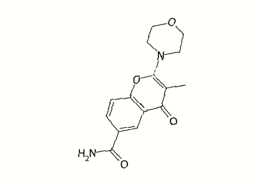 Cc1c(N2CCOCC2)oc2ccc(C(N)=O)cc2c1=O